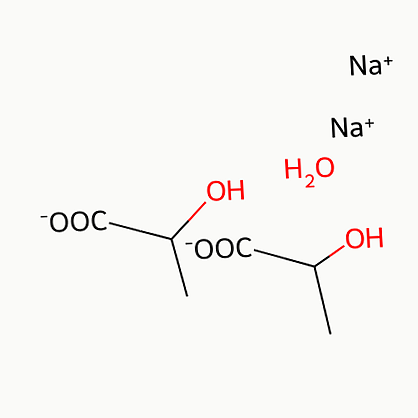 CC(O)C(=O)[O-].CC(O)C(=O)[O-].O.[Na+].[Na+]